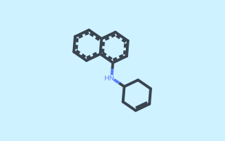 C1=CCC(Nc2cccc3ccccc23)CC1